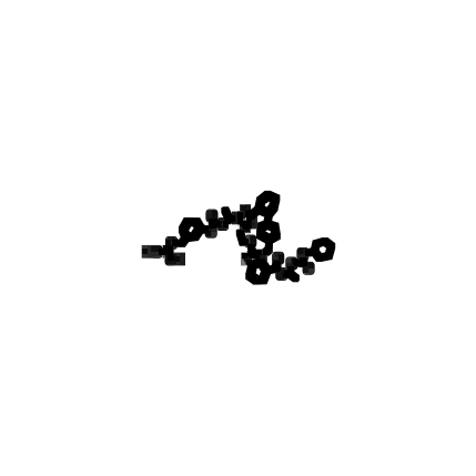 CCOc1nc2cccc(C(=O)OC(C)OC(=O)OC3CCCCC3)c2n1Cc1ccc(-c2ccccc2-c2nnn(C(C)OC(=O)Oc3cccc(CON(O)O)c3)n2)cc1